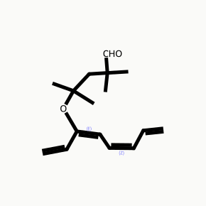 C=C/C=C\C=C(/C=C)OC(C)(C)CC(C)(C)C=O